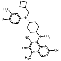 Cc1cc(N(CC2CCC2)[C@H]2CC[C@H](N(C)c3c(C#N)c(=O)n(C)c4ccc(C#N)nc34)CC2)ccc1F